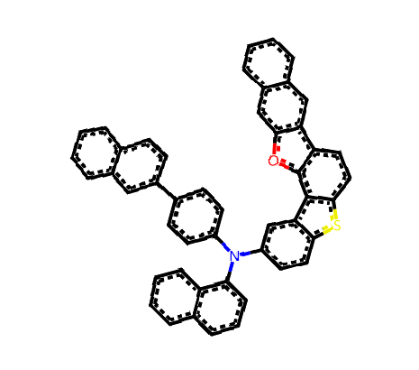 c1ccc2cc(-c3ccc(N(c4ccc5sc6ccc7c8cc9ccccc9cc8oc7c6c5c4)c4cccc5ccccc45)cc3)ccc2c1